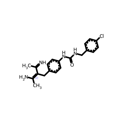 CC(=N)/C(Cc1ccc(NC(=O)NCc2ccc(Cl)cc2)cc1)=C(/C)N